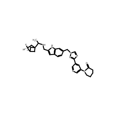 CC(NCc1cc2ccc(Cn3cnc(-c4cncc(N5CCCCC5=O)c4)n3)cc2[nH]1)C12CC(C1)[C@@H](F)C2